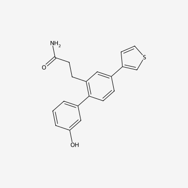 NC(=O)CCc1cc(-c2ccsc2)ccc1-c1cccc(O)c1